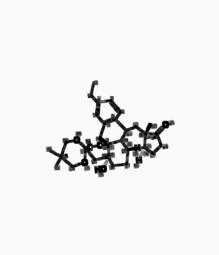 CCc1ccc2c(c1)C[C@]13CCC4(C[C@]1(O)CC[C@@H]1C3C2C[C@]2(C)C(=O)CC[C@@H]12)OCC(C)(C)CO4